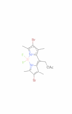 CC(=O)OCC1=C2C(C)=C(Br)C(C)=[N+]2[B-](F)(F)n2c(C)c(Br)c(C)c21